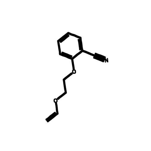 C=COCCOc1ccccc1C#N